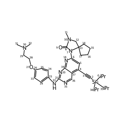 CC(C)[Si](C#Cc1cc(N2C(=O)N(C)CC23CCCC3)nc2nc(Nc3ccc(OCCN(C)C)cc3)ncc12)(C(C)C)C(C)C